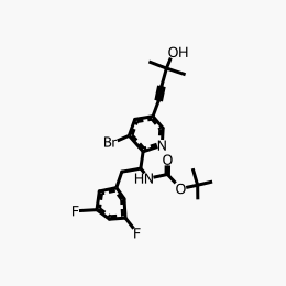 CC(C)(O)C#Cc1cnc(C(Cc2cc(F)cc(F)c2)NC(=O)OC(C)(C)C)c(Br)c1